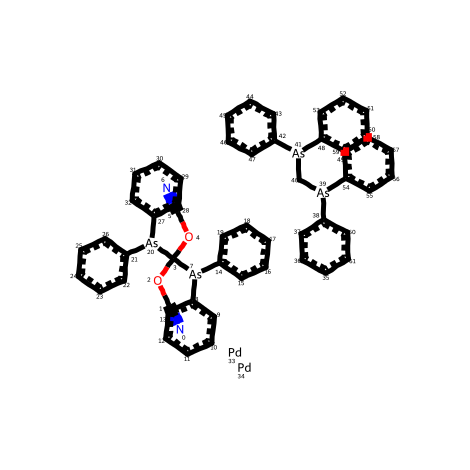 N#COC(OC#N)([As](c1ccccc1)c1ccccc1)[As](c1ccccc1)c1ccccc1.[Pd].[Pd].c1ccc([As](C[As](c2ccccc2)c2ccccc2)c2ccccc2)cc1